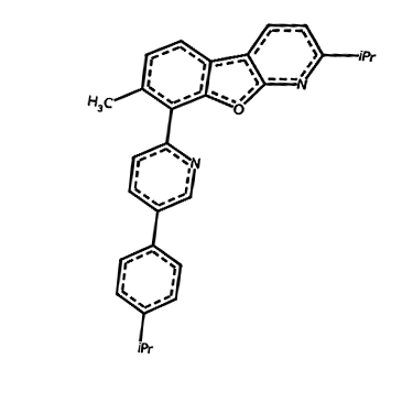 Cc1ccc2c(oc3nc(C(C)C)ccc32)c1-c1ccc(-c2ccc(C(C)C)cc2)cn1